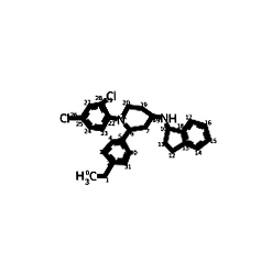 CCc1ccc(C2CC(NC3CCc4ccccc43)CCN2c2ccc(Cl)cc2Cl)cc1